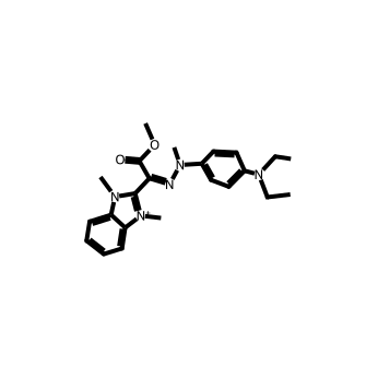 CCN(CC)c1ccc(N(C)/N=C(\C(=O)OC)c2n(C)c3ccccc3[n+]2C)cc1